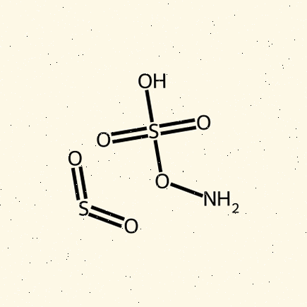 NOS(=O)(=O)O.O=S=O